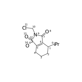 CC(C)C1CCCC2=C1C(=O)N(CCl)S2(=O)=O